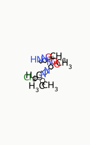 COC(=O)c1ccc(N2CCN(C(C)C3=C(c4ccc(Cl)cc4)CC(C)(C)CC3)CC2)cc1N1C[C@@H](C)Oc2nc3[nH]ccc3cc21